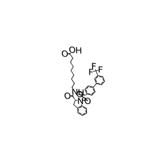 O=C(O)CCCCCCCCNC(=O)[C@@H]1Cc2ccccc2N1S(=O)(=O)c1ccc(-c2cccc(C(F)(F)F)c2)cc1